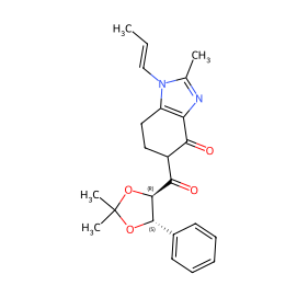 CC=Cn1c(C)nc2c1CCC(C(=O)[C@@H]1OC(C)(C)O[C@H]1c1ccccc1)C2=O